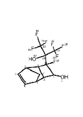 OC1C2C3C=CC(C3)C2C1(F)C(O)(C(F)(F)F)C(F)(F)F